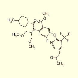 COCC(COC)N(c1cc(F)c(Oc2ncc(CC(C)=O)cc2C(F)(F)F)cc1C(=O)OC)C(=O)[C@H]1CC[C@H](C)CC1